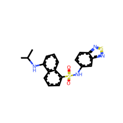 CC(C)Nc1cccc2c(S(=O)(=O)Nc3ccc4nsnc4c3)cccc12